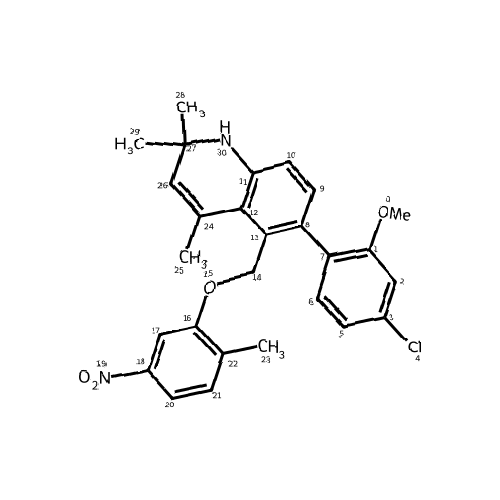 COc1cc(Cl)ccc1-c1ccc2c(c1COc1cc([N+](=O)[O-])ccc1C)C(C)=CC(C)(C)N2